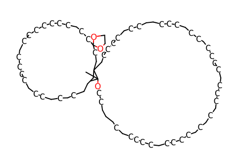 CC1(C)OCCCCCCCCCCCCCCCCCCCCCCCCCCCCCCCCCCCCCCCCCCCCCCC12CCCCCCCCCCCCCCCCCCCCCCCCCC1(CC2)OCCO1